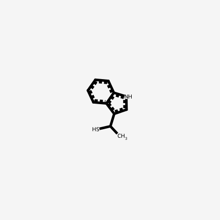 CC(S)c1c[nH]c2ccccc12